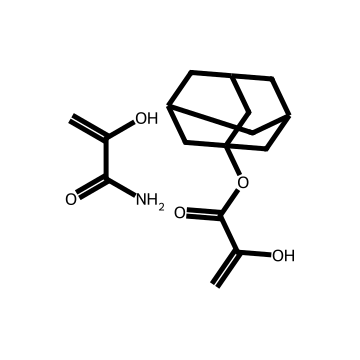 C=C(O)C(=O)OC12CC3CC(CC(C3)C1)C2.C=C(O)C(N)=O